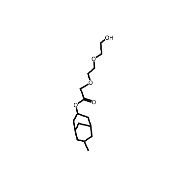 CC1CC2CC(C1)CC(OC(=O)COCCOCCO)C2